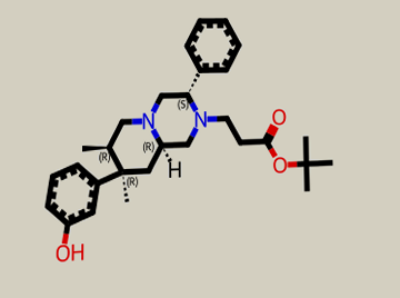 C[C@H]1CN2C[C@H](c3ccccc3)N(CCC(=O)OC(C)(C)C)C[C@H]2C[C@@]1(C)c1cccc(O)c1